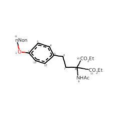 CCCCCCCCCOc1ccc(CCC(NC(C)=O)(C(=O)OCC)C(=O)OCC)cc1